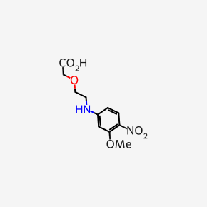 COc1cc(NCCOCC(=O)O)ccc1[N+](=O)[O-]